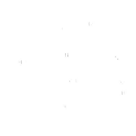 COc1cc(CN(Cc2c(C)c(Br)cc(Cl)c2O)C(=O)CBr)ccn1